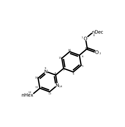 CCCCCCCCCCOC(=O)c1ccc(-c2ncc(CCCCCC)cn2)cc1